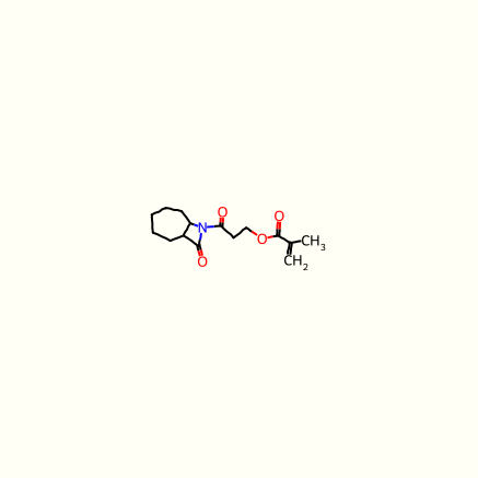 C=C(C)C(=O)OCCC(=O)N1C(=O)C2CCCCCC21